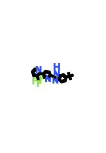 CC(C)(C)c1ccc2nc(-c3ccc(-c4ncccc4C(F)(F)F)cn3)[nH]c2c1